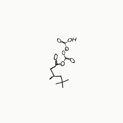 CC(CC(=O)OC(=O)OOC(=O)O)CC(C)(C)C